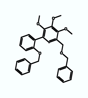 COc1c(COCc2ccccc2)[c]c(-c2ccccc2OCc2ccccc2)c(OC)c1OC